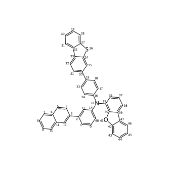 c1cc(-c2ccc3ccccc3c2)cc(N(c2ccc(-c3ccc4c(c3)sc3ccccc34)cc2)c2cccc3c2oc2ccccc23)c1